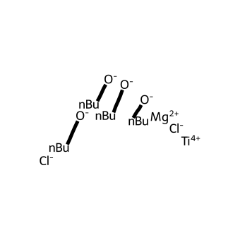 CCCC[O-].CCCC[O-].CCCC[O-].CCCC[O-].[Cl-].[Cl-].[Mg+2].[Ti+4]